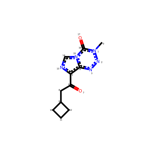 Cn1nnc2c(C(=O)CC3CCC3)ncn2c1=O